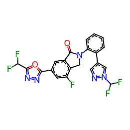 O=C1c2cc(-c3nnc(C(F)F)o3)cc(F)c2CN1c1ccccc1-c1cnn(C(F)F)c1